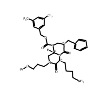 CC(C)OCCCN1C[C@@H]2N(C(=O)OCc3cc(C(F)(F)F)cc(C(F)(F)F)c3)C[C@@H](Cc3ccccc3)C(=O)N2[C@@H](CCCCN)C1=O